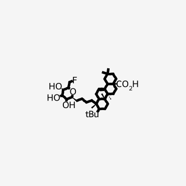 CC1(C)CC[C@]2(C(=O)O)CC[C@]3(C)C(=CCC4[C@@](C)(CCCC[C@@H]5OC(CF)[C@@H](O)C(O)C5O)C(C(C)(C)C)CC[C@]43C)C2C1